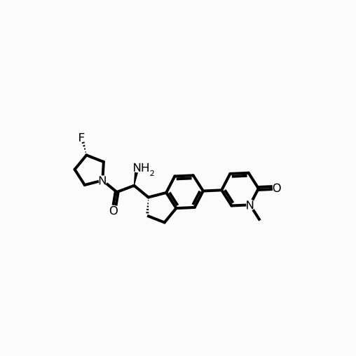 Cn1cc(-c2ccc3c(c2)CC[C@@H]3[C@H](N)C(=O)N2CC[C@H](F)C2)ccc1=O